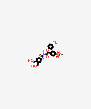 CCS(=O)(=O)c1ccc(C(Oc2ccc(C#N)cc2)C(=O)Nc2nc3cc(CO)c(CO)cc3s2)cc1